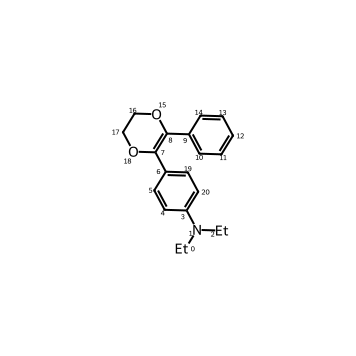 CCN(CC)c1ccc(C2=C(c3ccccc3)OCCO2)cc1